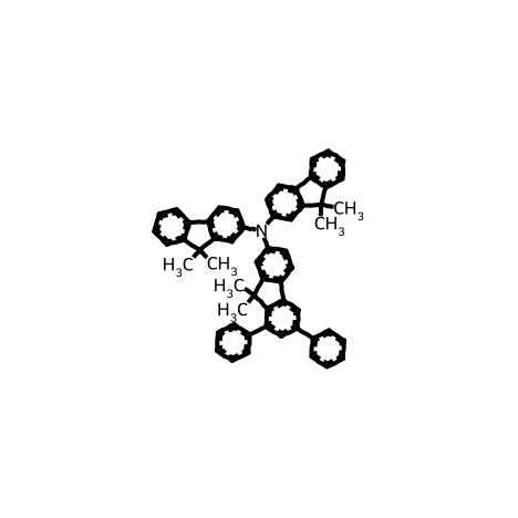 CC1(C)c2ccccc2-c2ccc(N(c3ccc4c(c3)C(C)(C)c3ccccc3-4)c3ccc4c(c3)C(C)(C)c3c(-c5ccccc5)cc(-c5ccccc5)cc3-4)cc21